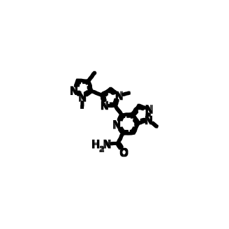 Cc1cnn(C)c1-c1cn(C)c(-c2nc(C(N)=O)cc3c2cnn3C)n1